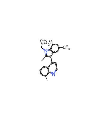 Cc1cccc2c(-c3c(C)n(CC(=O)O)c4ccc(C(F)(F)F)cc34)ccnc12